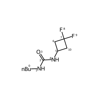 CCCCNC(=O)NC1CC(F)(F)C1